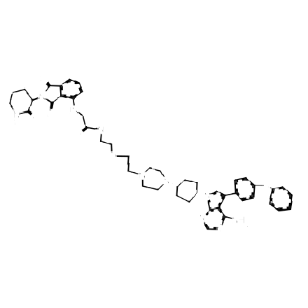 Nc1ncnc2c1c(-c1ccc(Oc3ccccc3)cc1)cn2[C@H]1CC[C@@H](N2CCN(CCOCCNC(=O)CNc3cccc4c3C(=O)N(C3CCCNC3=O)C4=O)CC2)CC1